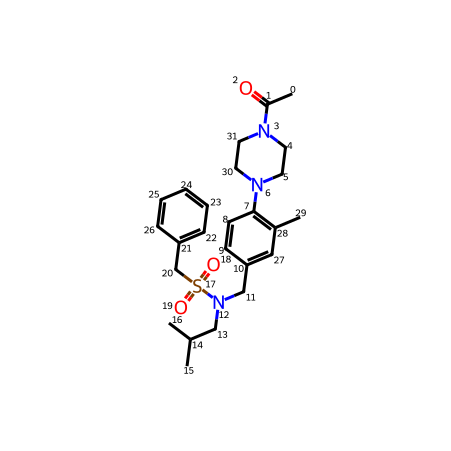 CC(=O)N1CCN(c2ccc(CN(CC(C)C)S(=O)(=O)Cc3ccccc3)cc2C)CC1